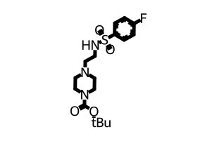 CC(C)(C)OC(=O)N1CCN(CCNS(=O)(=O)c2ccc(F)cc2)CC1